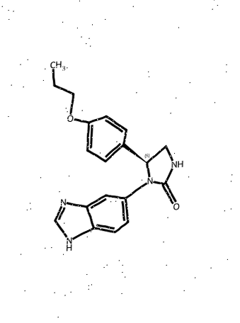 CCCOc1ccc([C@H]2CNC(=O)N2c2ccc3[nH]cnc3c2)cc1